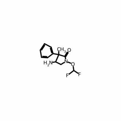 CC1(c2ccccc2)C(=O)N(OC(F)F)CC1N